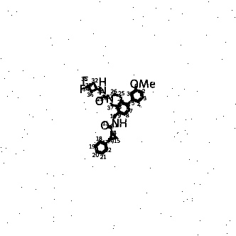 COc1cccc(-c2ccc(CNC(=O)[C@H]3C[C@H]3c3ccccc3)c3c2CCN(C(=O)NC2CC(F)(F)C2)C3)c1